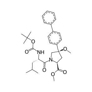 COC(=O)[C@@H]1C[C@@](OC)(c2ccc(-c3ccccc3)cc2)CN1C(=O)[C@H](CC(C)C)NC(=O)OC(C)(C)C